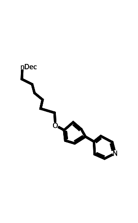 CCCCCCCCCCCCCCCCOc1ccc(-c2ccncc2)cc1